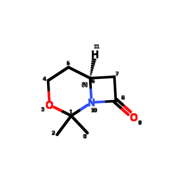 CC1(C)OCC[C@H]2CC(=O)N21